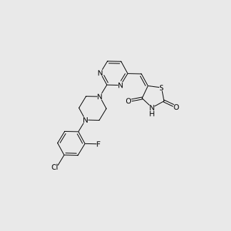 O=C1NC(=O)/C(=C\c2ccnc(N3CCN(c4ccc(Cl)cc4F)CC3)n2)S1